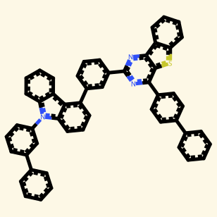 c1ccc(-c2ccc(-c3nc(-c4cccc(-c5cccc6c5c5ccccc5n6-c5cccc(-c6ccccc6)c5)c4)nc4c3sc3ccccc34)cc2)cc1